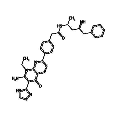 CCn1c(N)c(-c2ncc[nH]2)c(=O)c2ccc(-c3ccc(CC(=O)NC(C)CC(=N)Cc4ccccc4)cc3)nc21